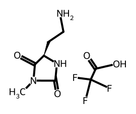 CN1C(=O)N[C@H](CCN)C1=O.O=C(O)C(F)(F)F